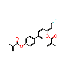 C=C(C)C(=O)OC(/C=C\C(=C)c1ccc(OC(=O)C(=C)C)cc1)=C/CF